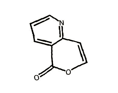 O=c1occc2ncccc12